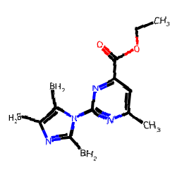 Bc1nc(B)n(-c2nc(C)cc(C(=O)OCC)n2)c1B